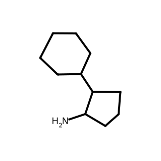 NC1CCCC1C1CCCCC1